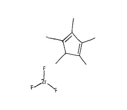 C[C]1C(C)=C(C)C(C)=C1C.[F][Zr]([F])[F]